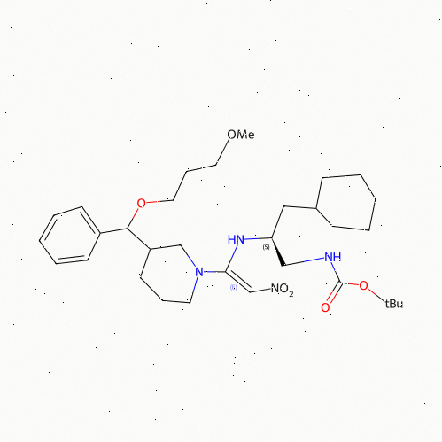 COCCCOC(c1ccccc1)C1CCCN(/C(=C/[N+](=O)[O-])N[C@H](CNC(=O)OC(C)(C)C)CC2CCCCC2)C1